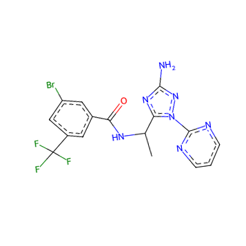 CC(NC(=O)c1cc(Br)cc(C(F)(F)F)c1)c1nc(N)nn1-c1ncccn1